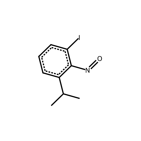 CC(C)c1cccc(I)c1N=O